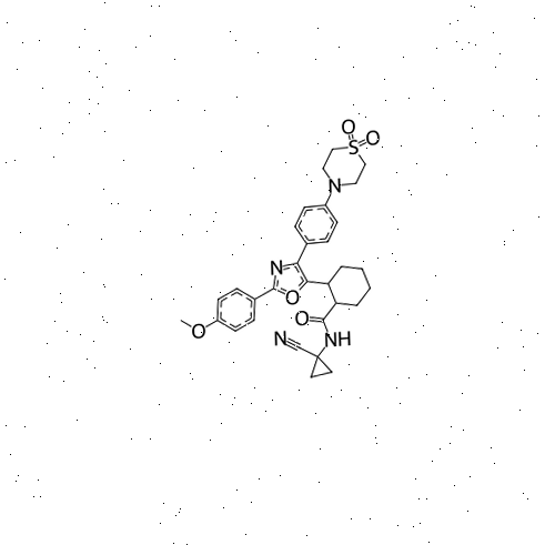 COc1ccc(-c2nc(-c3ccc(N4CCS(=O)(=O)CC4)cc3)c(C3CCCCC3C(=O)NC3(C#N)CC3)o2)cc1